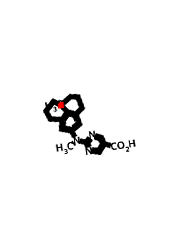 CN(c1cc2c3c(c1)CCCC3(C)CCC2)c1ncc(C(=O)O)cn1